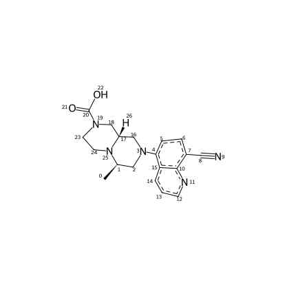 C[C@@H]1CN(c2ccc(C#N)c3ncccc23)C[C@H]2CN(C(=O)O)CCN21